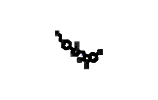 O=C1Nc2ccc(Cl)cc2/C1=C/c1cnc(C2CCN(CCF)CC2)[nH]1